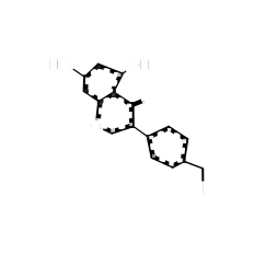 O=c1c(-c2ccc(CI)cc2)coc2cc(O)cc(O)c12